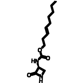 CCCCC/C=C/CCOC(=O)N[C@H]1CNC1=O